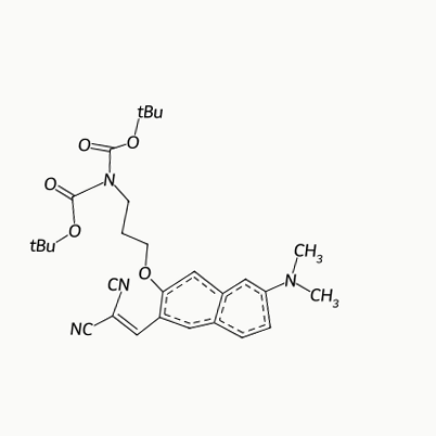 CN(C)c1ccc2cc(C=C(C#N)C#N)c(OCCCN(C(=O)OC(C)(C)C)C(=O)OC(C)(C)C)cc2c1